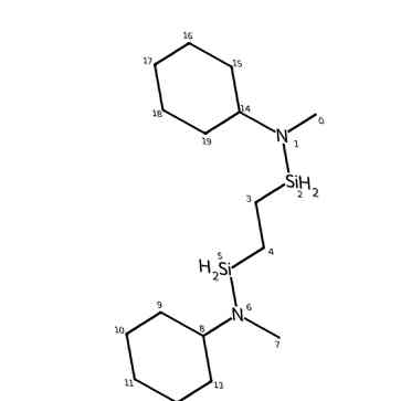 CN([SiH2]CC[SiH2]N(C)C1CCCCC1)C1CCCCC1